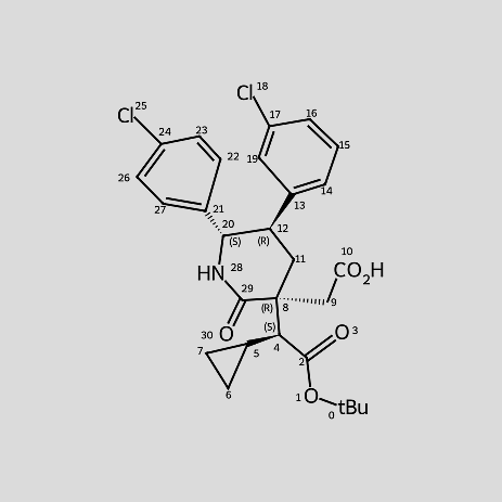 CC(C)(C)OC(=O)[C@@H](C1CC1)[C@]1(CC(=O)O)C[C@H](c2cccc(Cl)c2)[C@@H](c2ccc(Cl)cc2)NC1=O